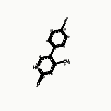 Cc1cc(=O)[nH]cc1-c1ccc(F)cc1